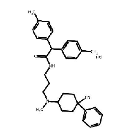 Cc1ccc(C(C(=O)NCCCN(C)C2CCC(C#N)(c3ccccc3)CC2)c2ccc(C)cc2)cc1.Cl